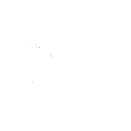 CCC(Cc1ccccc1)ON